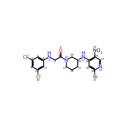 O=C(CNc1cc(Cl)cc(Cl)c1)N1CCC[C@H](Nc2cc(Br)ncc2[N+](=O)[O-])C1